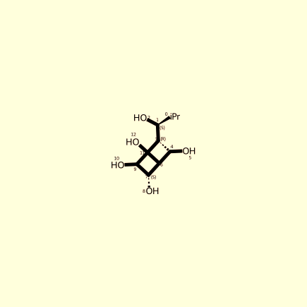 CC(C)[C@H](O)[C@@H]1C(O)C2[C@H](O)C(O)C21O